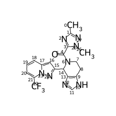 Cc1nc(C(=O)N2CCc3[nH]cnc3C2c2cc3cccc(C(F)(F)F)n3n2)n(C)n1